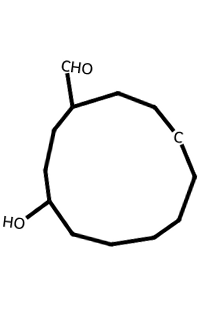 O=CC1CCCCCCCCC(O)CC1